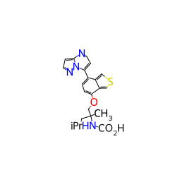 CC(C)CC(C)(COc1ccc(-c2ccnc3ccnn23)c2cscc12)NC(=O)O